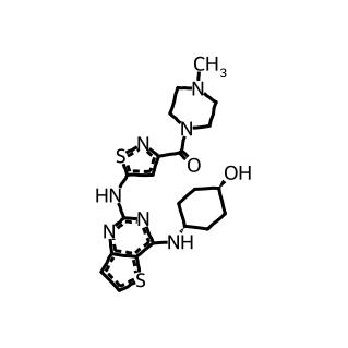 CN1CCN(C(=O)c2cc(Nc3nc(N[C@H]4CC[C@H](O)CC4)c4sccc4n3)sn2)CC1